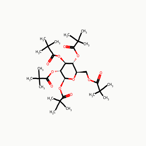 CC(C)(C)C(=O)OC[C@H]1O[C@@H](OC(=O)C(C)(C)C)[C@H](OC(=O)C(C)(C)C)[C@@H](OC(=O)C(C)(C)C)[C@@H]1OC(=O)C(C)(C)C